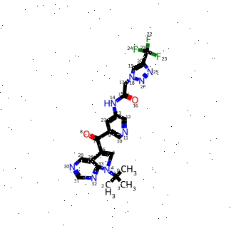 CC(C)(C)n1cc(C(=O)c2cncc(NC(=O)Cn3cc(C(F)(F)F)nn3)c2)c2cncnc21